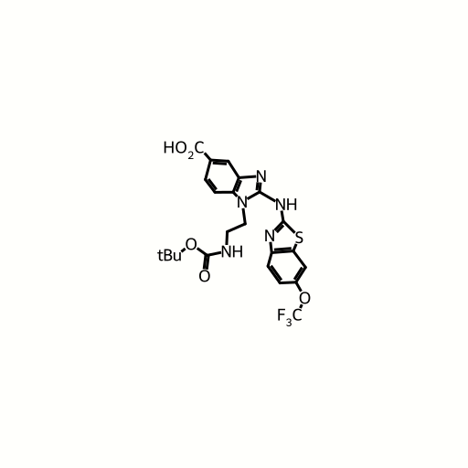 CC(C)(C)OC(=O)NCCn1c(Nc2nc3ccc(OC(F)(F)F)cc3s2)nc2cc(C(=O)O)ccc21